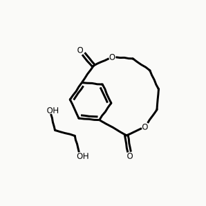 O=C1OCCCCOC(=O)c2ccc1cc2.OCCO